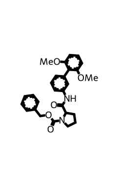 COc1cccc(OC)c1-c1cccc(NC(=O)C2CCCN2C(=O)OCc2ccccc2)c1